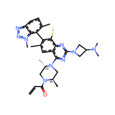 C=CC(=O)N1C[C@H](C)N(c2nc(N3CC(N(C)C)C3)nc3c(F)c(-c4c(C)ccc5nnn(C)c45)c(C)cc23)C[C@H]1C